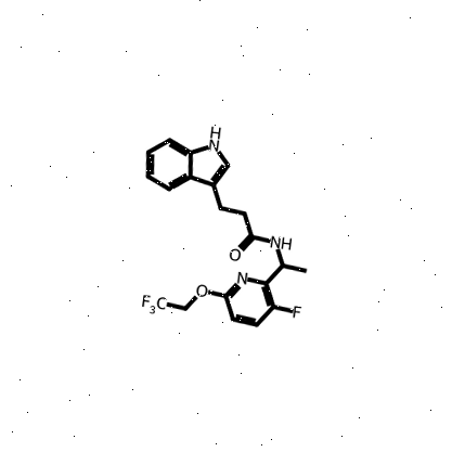 CC(NC(=O)CCc1c[nH]c2ccccc12)c1nc(OCC(F)(F)F)ccc1F